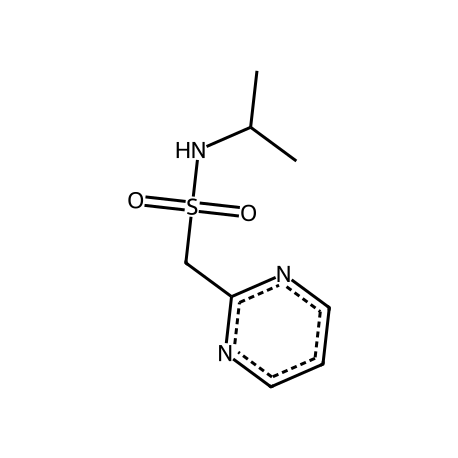 CC(C)NS(=O)(=O)Cc1ncccn1